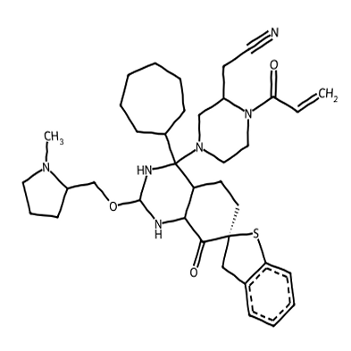 C=CC(=O)N1CCN(C2(C3CCCCCC3)NC(OCC3CCCN3C)NC3C(=O)[C@]4(CCC32)Cc2ccccc2S4)CC1CC#N